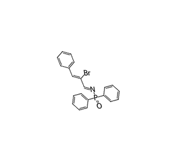 O=P(/N=C/C(Br)=C/c1ccccc1)(c1ccccc1)c1ccccc1